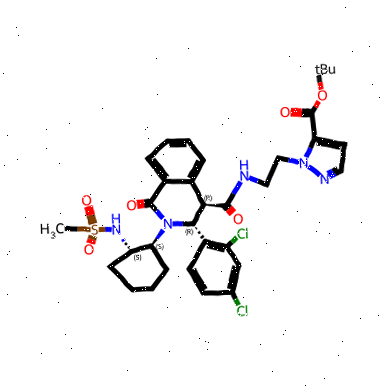 CC(C)(C)OC(=O)c1ccnn1CCNC(=O)[C@@H]1c2ccccc2C(=O)N([C@H]2CCCC[C@@H]2NS(C)(=O)=O)[C@H]1c1ccc(Cl)cc1Cl